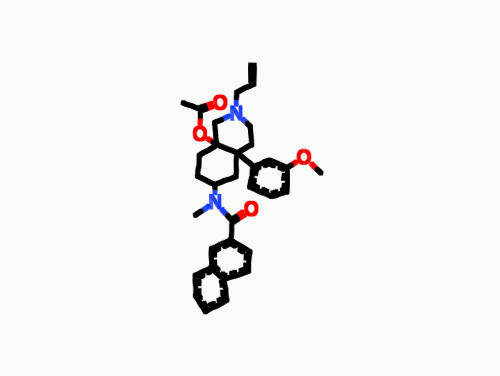 C=CCN1CCC2(c3cccc(OC)c3)CC(N(C)C(=O)c3ccc4ccccc4c3)CCC2(OC(C)=O)C1